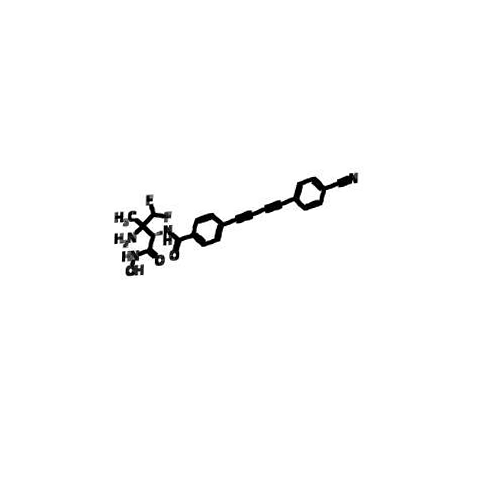 CC(N)(C(F)F)[C@H](NC(=O)c1ccc(C#CC#Cc2ccc(C#N)cc2)cc1)C(=O)NO